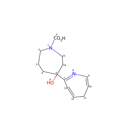 O=C(O)N1CCCC(O)(C2=NC=CCC=C2)CC1